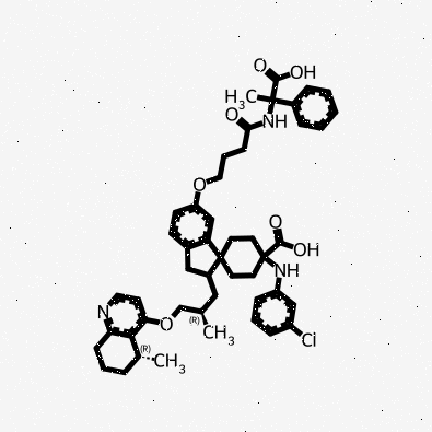 C[C@@H](COc1ccnc2c1[C@H](C)CCC2)CC1Cc2ccc(OCCCC(=O)NC(C)(C(=O)O)c3ccccc3)cc2C12CCC(Nc1cccc(Cl)c1)(C(=O)O)CC2